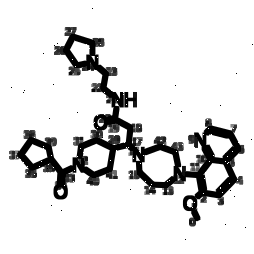 COc1ccc2cccnc2c1N1CCCN(C(CC(=O)NCCN2CCCC2)C2CCN(C(=O)C3CCCC3)CC2)CC1